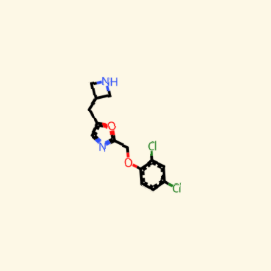 Clc1ccc(OCc2ncc(CC3CNC3)o2)c(Cl)c1